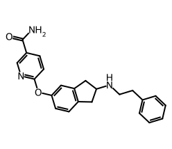 NC(=O)c1ccc(Oc2ccc3c(c2)CC(NCCc2ccccc2)C3)nc1